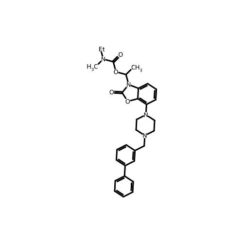 CCN(C)C(=O)OC(C)n1c(=O)oc2c(N3CCN(Cc4cccc(-c5ccccc5)c4)CC3)cccc21